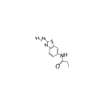 CCC(=O)Nc1ccc2nc(N)sc2c1